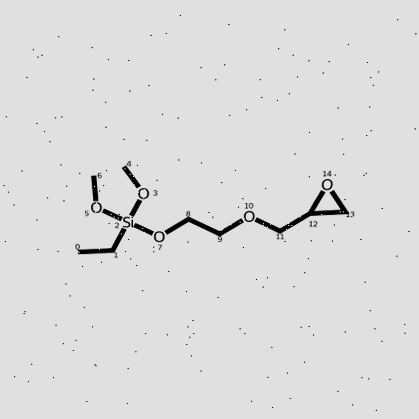 CC[Si](OC)(OC)OCCOCC1CO1